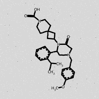 COc1ccc(CN2CC(=O)N(C3CC4(CCN(C(=O)O)CC4)C3)C(c3ccccc3C(C)C)C2)cc1